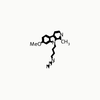 COc1ccc2c3ccnc(C)c3n(CCCCN=[N+]=[N-])c2c1